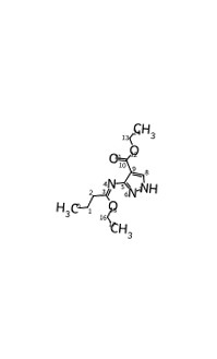 CCCC(=Nc1n[nH]cc1C(=O)OCC)OCC